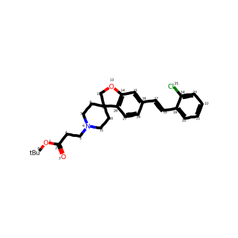 CC(C)(C)OC(=O)CCN1CCC2(CC1)COc1cc(/C=C/c3ccccc3Cl)ccc12